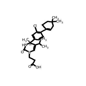 CC(C)C1=CN(CCC(=O)O)C(=O)N[C@]1(C)c1ccc(C2=CCC(C)(C)CC2)c(Cl)c1